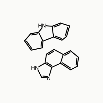 c1ccc2c(c1)[nH]c1ccccc12.c1ccc2c(c1)ccc1[nH]cnc12